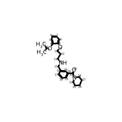 CC(C)Oc1ccccc1OCCCNCc1cccc(C(=O)N2CCCCC2)c1